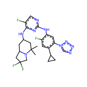 CC1(C)CC(Nc2nc(Nc3cc(-n4cnnn4)c(C4CC4)cc3F)ncc2F)CC2CC(F)(F)CN21